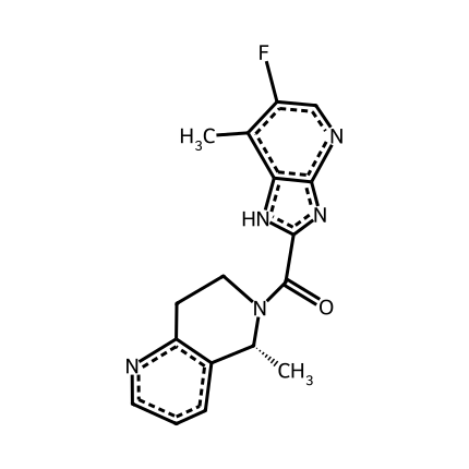 Cc1c(F)cnc2nc(C(=O)N3CCc4ncccc4[C@H]3C)[nH]c12